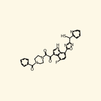 O=C(C(=O)N1CCN(C(=O)c2ccccc2)CC1)c1c[nH]c2c(-c3nc(C(S)c4ccccn4)no3)ccc(F)c12